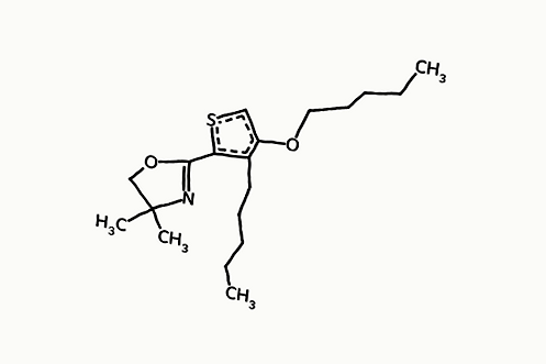 CCCCCOc1csc(C2=NC(C)(C)CO2)c1CCCCC